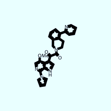 COc1cnc(-n2cccc2)c2[nH]cc(C(=O)C(=O)N3CCc4c(cccc4-c4ccccn4)C3)c12